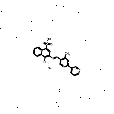 Cc1cc(-c2cccnc2)ncc1N=Nc1cc(S(=O)(=O)O)c2ccccc2c1N.[Na]